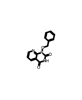 O=c1[nH]c(=O)n(OCc2ccccc2)c2ncccc12